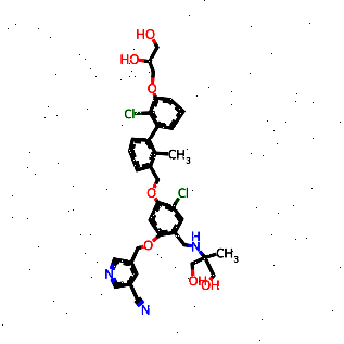 Cc1c(COc2cc(OCc3cncc(C#N)c3)c(CNC(C)(CO)CO)cc2Cl)cccc1-c1cccc(OCC(O)CO)c1Cl